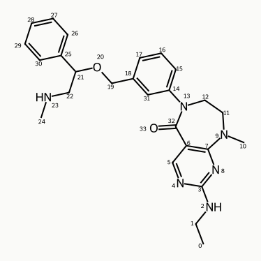 CCNc1ncc2c(n1)N(C)CCN(c1cccc(COC(CNC)c3ccccc3)c1)C2=O